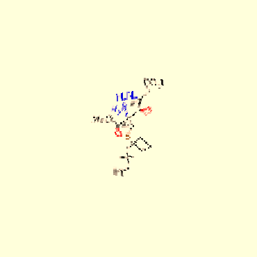 COC(=O)[C@@](N)(CSC1(CC(C)(C)CC(C)C)CCC1)C(=O)[C@@H](N)CC(=O)O